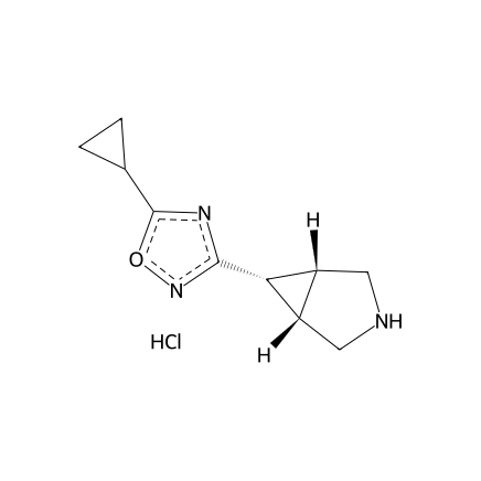 C1CC1c1nc([C@@H]2[C@@H]3CNC[C@@H]32)no1.Cl